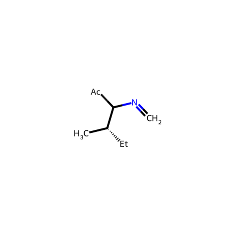 C=NC(C(C)=O)[C@@H](C)CC